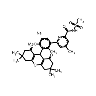 COc1ccc(-c2cc(C)cc(C(=O)NS(C)(=O)=O)n2)c(C)c1C1C2=C(CC(C)(C)CC2=O)OC2=C1C(=O)CC(C)(C)C2.[Na]